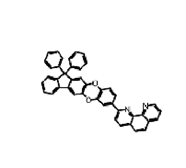 c1ccc(C2(c3ccccc3)c3ccccc3-c3cc4c(cc32)Oc2ccc(-c3ccc5ccc6cccnc6c5n3)cc2O4)cc1